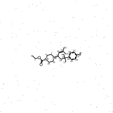 CCOC(=O)N1CCN(C(C=C(C)C)CC(C)(C)c2ccc(F)cc2)CC1